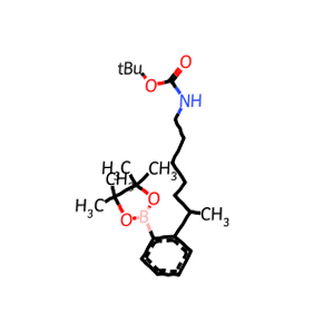 CC(CCCCCNC(=O)OC(C)(C)C)c1ccccc1B1OC(C)(C)C(C)(C)O1